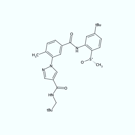 Cc1ccc(C(=O)Nc2cc(C(C)(C)C)ccc2[S@+](C)[O-])cc1-n1cc(C(=O)NCC(C)(C)C)cn1